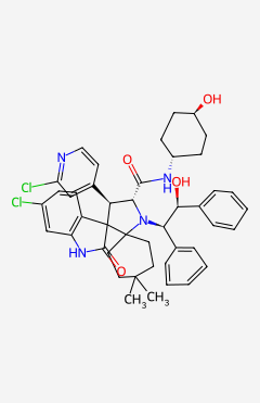 CC1(C)CCC2(CC1)N([C@H](c1ccccc1)[C@@H](O)c1ccccc1)[C@@H](C(=O)N[C@H]1CC[C@H](O)CC1)[C@H](c1ccnc(Cl)c1)C21C(=O)Nc2cc(Cl)ccc21